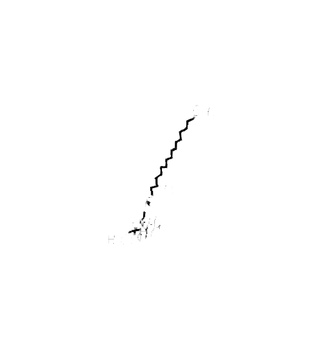 CCCCCCCCCCCCCCCCCCCCCCOC(O)(CC)[N+](C)(C)C.[Cl-]